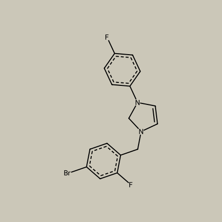 Fc1ccc(N2C=CN(Cc3ccc(Br)cc3F)C2)cc1